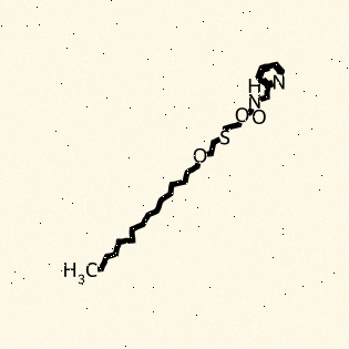 CCCCCCCCCCCCCCCCOCCSCCOC(=O)NCc1ccccn1